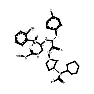 CC(C)C(=O)N(C1CCCCC1)[C@H]1CCN(NC(=O)[C@@H](Cc2ccc(Cl)cc2)NC(CNC(=O)OC(C)(C)C)S(=O)(=O)c2ccccc2[N+](=O)[O-])C1